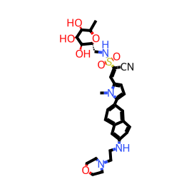 CC1O[C@H](CNS(=O)(=O)/C(C#N)=C/c2ccc(-c3ccc4cc(NCCN5CCOCC5)ccc4c3)n2C)[C@@H](O)[C@H](O)[C@H]1O